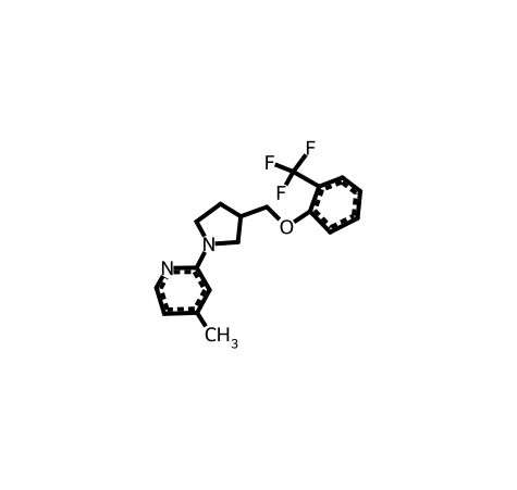 Cc1ccnc(N2CCC(COc3ccccc3C(F)(F)F)C2)c1